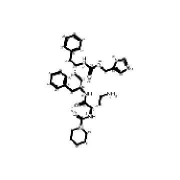 NCC[C@H](NC(=O)N1CCCCC1)C(=O)N[C@H](CC[C@H](Cc1ccccc1)NC(=O)OCc1cncs1)Cc1ccccc1